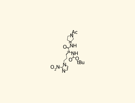 CC(=O)N1CC[C@@H](NC(=O)[C@H](CCCn2ccnc2[N+](=O)[O-])NC(=O)OC(C)(C)C)C1